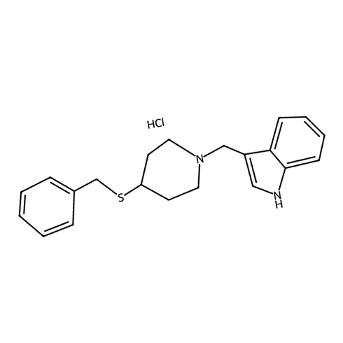 Cl.c1ccc(CSC2CCN(Cc3c[nH]c4ccccc34)CC2)cc1